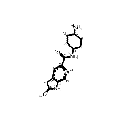 NC1CCC(NC(=O)c2cc3c(cn2)NC(=O)C3)CC1